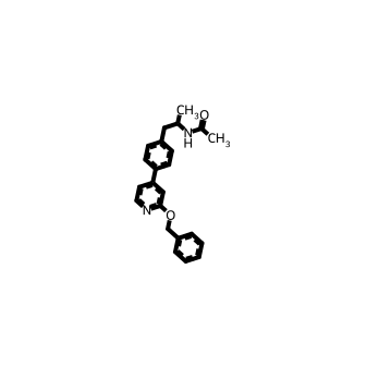 CC(=O)NC(C)Cc1ccc(-c2ccnc(OCc3ccccc3)c2)cc1